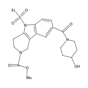 CCS(=O)(=O)n1c2c(c3cc(C(=O)N4CCC(O)CC4)ccc31)CN(C(=O)OC(C)(C)C)CC2